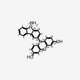 Nn1c2ccccc2c2cc(N3c4ccc(O)cc4Oc4cc(O)ccc43)ccc21